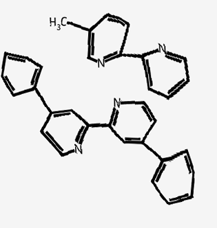 Cc1ccc(-c2ccccn2)nc1.c1ccc(-c2ccnc(-c3cc(-c4ccccc4)ccn3)c2)cc1